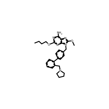 CCCCOc1nc(N)c2nc(OC)n(Cc3ccc(-c4ccccc4CN4CCCC4)cc3)c2n1